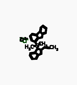 CC=CC1=Cc2ccccc2C1[Si](C)(C)c1cccc2c1Cc1ccccc1-2.[Cl-].[Cl-].[Zr+2]